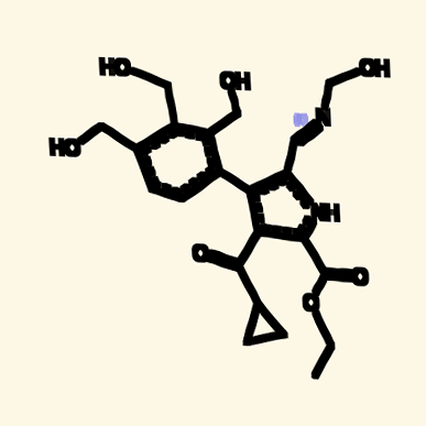 CCOC(=O)c1[nH]c(/C=N/CO)c(-c2ccc(CO)c(CO)c2CO)c1C(=O)C1CC1